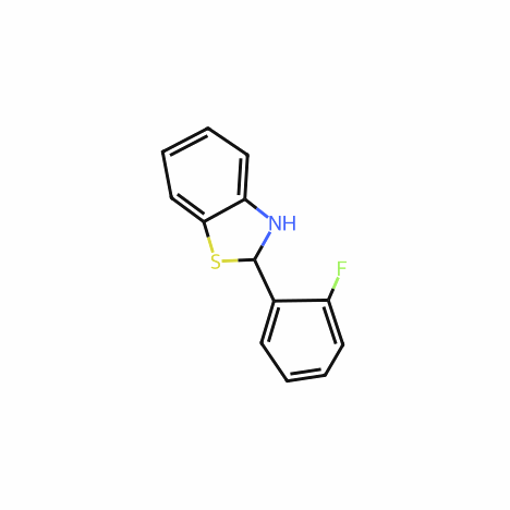 Fc1ccccc1C1Nc2ccccc2S1